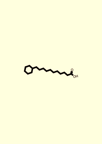 O=C(O)CCCCCCCCCCC1CCCCC1